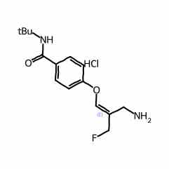 CC(C)(C)NC(=O)c1ccc(O/C=C(\CN)CF)cc1.Cl